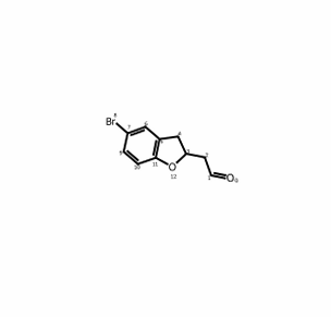 O=CCC1Cc2cc(Br)ccc2O1